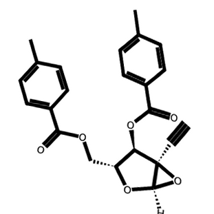 C#C[C@]12O[C@H]1O[C@H](COC(=O)c1ccc(C)cc1)[C@H]2OC(=O)c1ccc(C)cc1